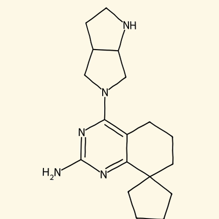 Nc1nc(N2CC3CCNC3C2)c2c(n1)C1(CCCC1)CCC2